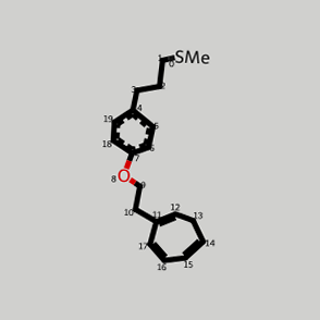 CSCCCc1ccc(OCCC2=CCC=CC=C2)cc1